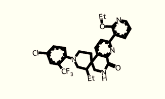 CCOc1ncccc1-c1ccc2c(n1)C(=O)NCC21CCN(c2ccc(Cl)cc2C(F)(F)F)CC1CC